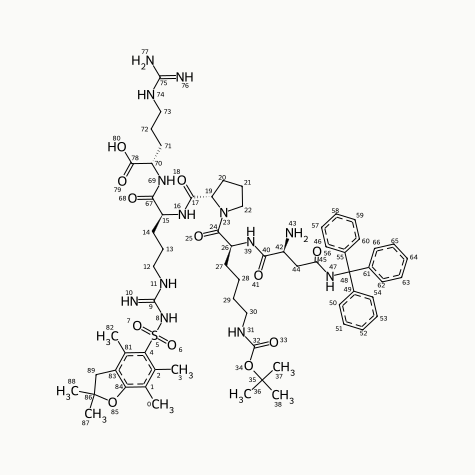 Cc1c(C)c(S(=O)(=O)NC(=N)NCCC[C@H](NC(=O)[C@@H]2CCCN2C(=O)[C@H](CCCCNC(=O)OC(C)(C)C)NC(=O)[C@@H](N)CC(=O)NC(c2ccccc2)(c2ccccc2)c2ccccc2)C(=O)N[C@@H](CCCNC(=N)N)C(=O)O)c(C)c2c1OC(C)(C)C2